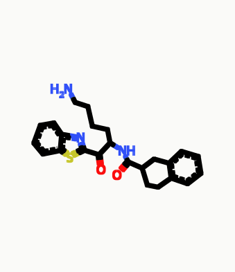 NCCCCC(NC(=O)C1CCc2ccccc2C1)C(=O)c1nc2ccccc2s1